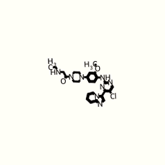 CCNCC(=O)N1CCN(c2ccc(Nc3ncc(Cl)c(-c4cnc5ccccn45)n3)c(OC)c2)CC1